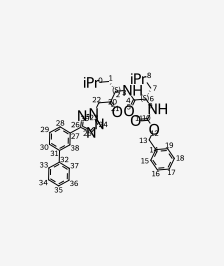 CC(C)C[C@H](NC(=O)[C@H](CC(C)C)NC(=O)OCc1ccccc1)C(=O)Cn1nnc(-c2cccc(-c3ccccc3)c2)n1